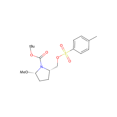 CO[C@H]1CC[C@@H](COS(=O)(=O)c2ccc(C)cc2)N1C(=O)OC(C)(C)C